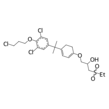 CCS(=O)(=O)CC(O)COC1=CC=C(C(C)(C)c2cc(Cl)c(OCCCCl)c(Cl)c2)CC1